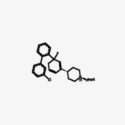 CCCCC[Si@H]1CC[C@H](C2=CC(F)(c3ccccc3-c3cccc(Cl)c3)CC=C2)CC1